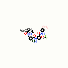 Bc1ccc(NC(=O)c2cc(NC(=O)c3cc(CNC(=O)C(C)(C)OC)ccc3Cl)ccc2OCC(F)F)cc1